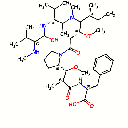 CC[C@H](C)C([C@@H](CC(=O)N1CCC[C@H]1C(OC)[C@@H](C)C(=O)N[C@H](Cc1ccccc1)C(=O)O)OC)N(C)C(C)[C@H](NC(O)[C@@H](NC)C(C)C)C(C)C